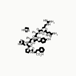 CC(C)[C@H](NC(=O)[C@H](CCCNC(=N)N)NC(=O)[C@@H](N)CC(N)=O)C(=O)N[C@@H](Cc1ccc(O)cc1)C(=O)N[C@H](C(=O)N[C@@H](Cc1cnc[nH]1)C(=O)N1CCC[C@H]1C(=O)N[C@@H](Cc1ccccc1)C(=O)O)C(C)C.c1c[nH]nn1